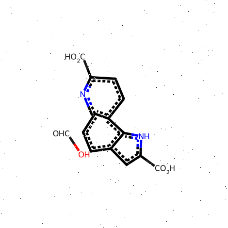 O=C(O)c1ccc2c(ccc3cc(C(=O)O)[nH]c32)n1.O=CO